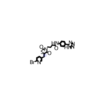 O=C(CCCN1C(=O)S/C(=C\c2ccc(Br)nc2)C1=O)Nc1ccc(-c2nnn[nH]2)cc1